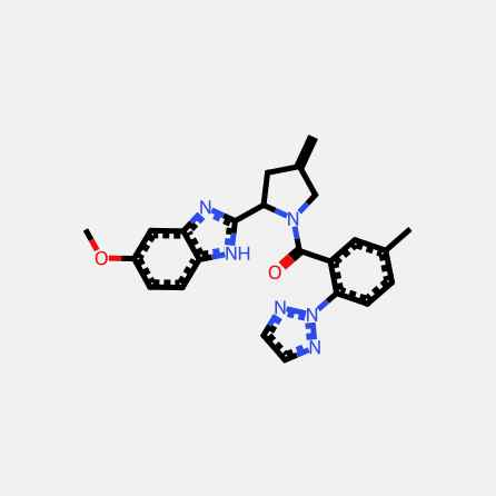 C=C1CC(c2nc3cc(OC)ccc3[nH]2)N(C(=O)c2cc(C)ccc2-n2nccn2)C1